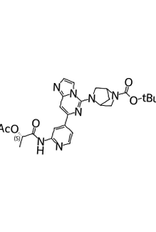 CC(=O)O[C@@H](C)C(=O)Nc1cc(-c2cc3nccn3c(N3CC4CC3CN4C(=O)OC(C)(C)C)n2)ccn1